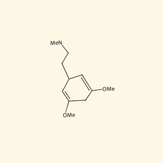 CNCCC1C=C(OC)CC(OC)=C1